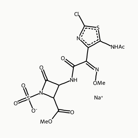 CON=C(C(=O)NC1C(=O)N(S(=O)(=O)[O-])C1C(=O)OC)c1nc(Cl)sc1NC(C)=O.[Na+]